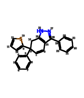 C1=CC(c2ccccc2)(c2cccs2)Cc2[nH]nc(-c3ccccc3)c21